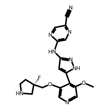 COc1cncc(OC[C@]2(F)CCNC2)c1-c1cc(Nc2cnc(C#N)cn2)n[nH]1